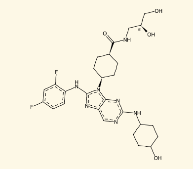 O=C(NC[C@H](O)CO)[C@H]1CC[C@@H](n2c(Nc3ccc(F)cc3F)nc3cnc(NC4CCC(O)CC4)nc32)CC1